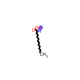 CCCCCCCCCCCCC(N=[N+]=[N-])C(=O)O